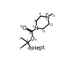 CCCCCCCC(C)(C)OC(=O)N1CCN(C)CC1